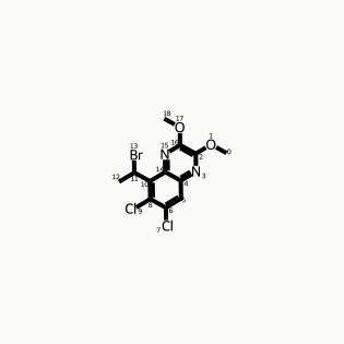 COc1nc2cc(Cl)c(Cl)c(C(C)Br)c2nc1OC